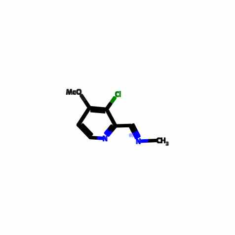 C/N=C/c1nccc(OC)c1Cl